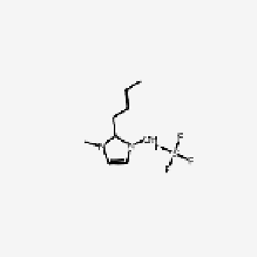 CCCCC1N(C)C=CN1O.F[B-](F)(F)F